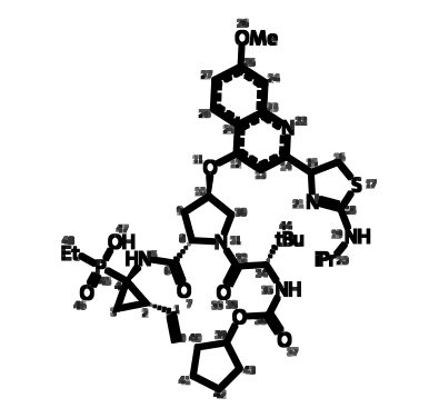 C=C[C@@H]1C[C@]1(NC(=O)[C@@H]1C[C@@H](Oc2cc(C3CSC(NC(C)C)=N3)nc3cc(OC)ccc23)CN1C(=O)[C@@H](NC(=O)OC1CCCC1)C(C)(C)C)P(=O)(O)CC